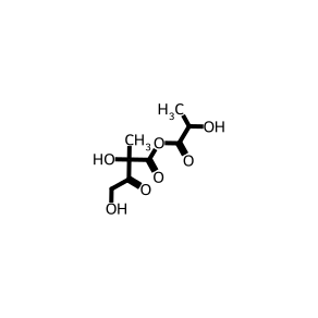 CC(O)C(=O)OC(=O)C(C)(O)C(=O)CO